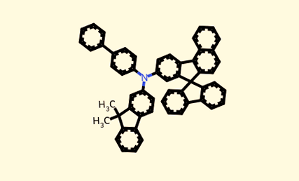 CC1(C)c2ccccc2-c2ccc(N(c3ccc(-c4ccccc4)cc3)c3ccc4c(c3)C3(c5ccccc5-c5ccccc53)c3ccc5ccccc5c3-4)cc21